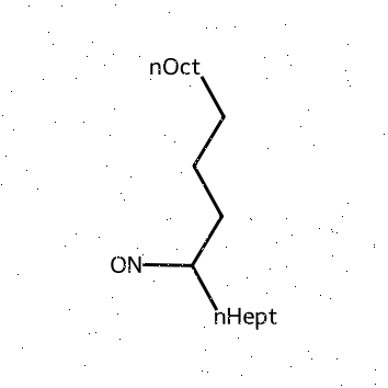 CCCCCCCCCCCC(CCCCCCC)N=O